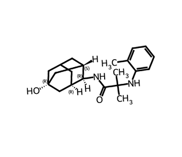 Cc1ccccc1NC(C)(C)C(=O)N[C@H]1[C@@H]2CC3C[C@H]1C[C@](O)(C3)C2